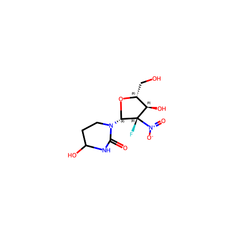 O=C1NC(O)CCN1[C@@H]1O[C@H](CO)[C@@H](O)[C@]1(F)[N+](=O)[O-]